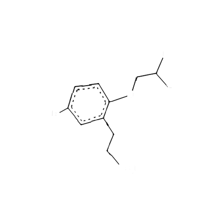 O=C(O)CCc1cc(Br)ccc1OCC(F)F